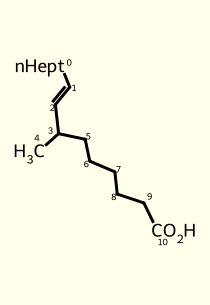 CCCCCCCC=CC(C)CCCCCC(=O)O